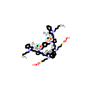 CCCCCN1/C(=C/C=C2\CCC(/C=C/C3=[N+](CCCCSOOO)c4ccccc4C3(C)C)=C2N(Cc2cccc(CN(C3=C(/C=C/C4=[N+](CCCCSOOO)c5ccccc5C4(C)C)CC/C3=C\C=C3\N(CCCCC)c4ccccc4C3(C)C)S(=O)(=O)C(F)(F)F)c2)S(=O)(=O)C(F)(F)F)C(C)(C)c2ccccc21